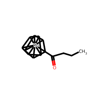 CCCC(=O)[C]12[CH]3[CH]4[CH]5[CH]1[Ru]45321678[CH]2[CH]1[CH]6[CH]7[CH]28